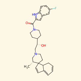 C[C@@H]1CN(C[C@@H](O)C2CCN(C(=O)c3cc4cc(F)ccc4[nH]3)CC2)CCC12C=CC1=CC=CCC12